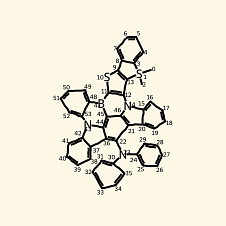 CS1(C)c2ccccc2-c2sc3c(c21)-n1c2ccccc2c2c(N(c4ccccc4)c4ccccc4)c4c5ccccc5n5c4c(c21)B3c1ccccc1-5